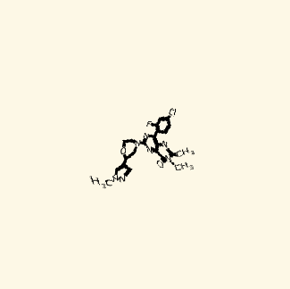 Cc1nc2c(-c3ccc(Cl)cc3F)nc(N3CCOC(c4cnn(C)c4)C3)nc2c(=O)n1C